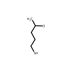 CC(Cl)CCCS